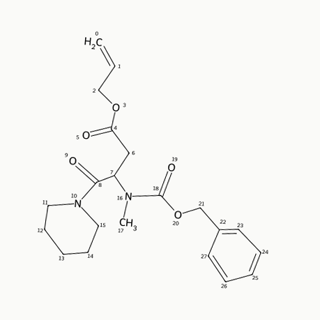 C=CCOC(=O)CC(C(=O)N1CCCCC1)N(C)C(=O)OCc1ccccc1